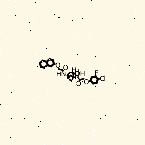 O=C(COc1ccc2ccccc2c1)NC1=C2CC(NC(=O)COc3ccc(Cl)c(F)c3)(C2)[C@@H](O)C1